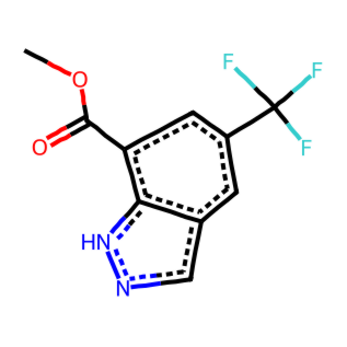 COC(=O)c1cc(C(F)(F)F)cc2cn[nH]c12